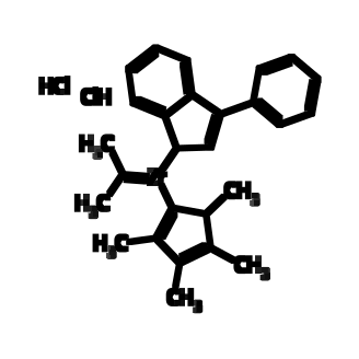 CC1=C(C)C(C)[C]([Zr](=[C](C)C)[CH]2C=C(c3ccccc3)c3ccccc32)=C1C.Cl.Cl